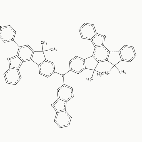 CC1(C)c2cc(N(c3ccc4c(c3)C(C)(C)c3c5c(c6oc7ccccc7c6c3-4)-c3ccccc3C5(C)C)c3ccc4c(c3)oc3ccccc34)ccc2-c2c1cc(-c1ccncc1)c1oc3ccccc3c21